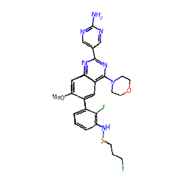 COc1cc2nc(-c3cnc(N)nc3)nc(N3CCOCC3)c2cc1-c1cccc(NSCCCF)c1F